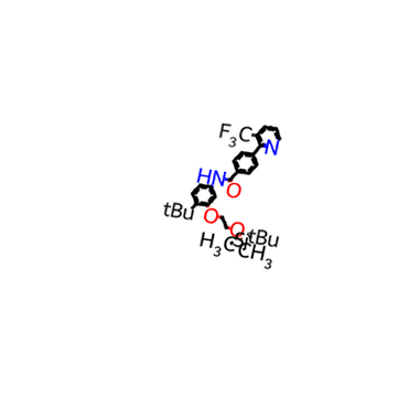 CC(C)(C)c1ccc(NC(=O)c2ccc(-c3ncccc3C(F)(F)F)cc2)cc1OCCO[Si](C)(C)C(C)(C)C